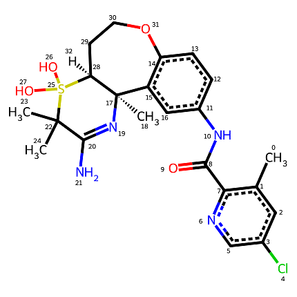 Cc1cc(Cl)cnc1C(=O)Nc1ccc2c(c1)[C@@]1(C)N=C(N)C(C)(C)S(O)(O)[C@H]1CCO2